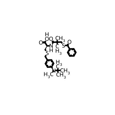 CN(c1ccc(CSC[C@H](NC(=O)C(C)(C)CSC(=O)c2ccccc2)C(=O)O)cc1)C(C)(C)C